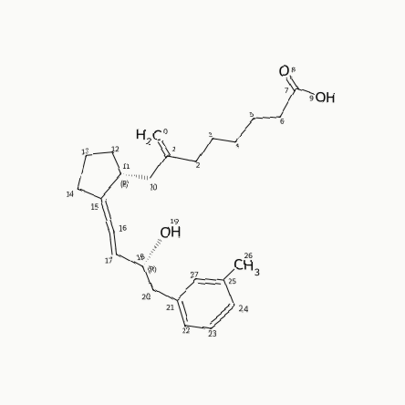 C=C(CCCCCC(=O)O)C[C@H]1CCCC1=C=C[C@H](O)Cc1cccc(C)c1